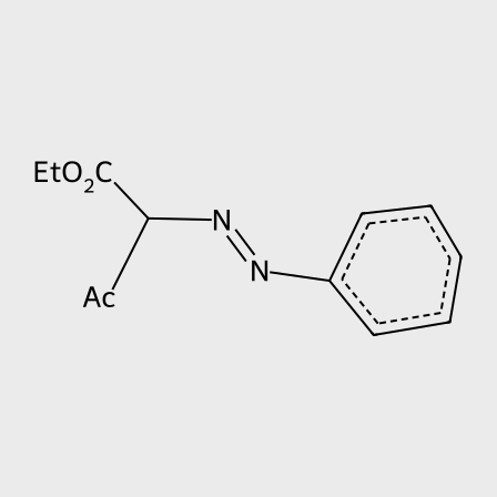 CCOC(=O)C(N=Nc1ccccc1)C(C)=O